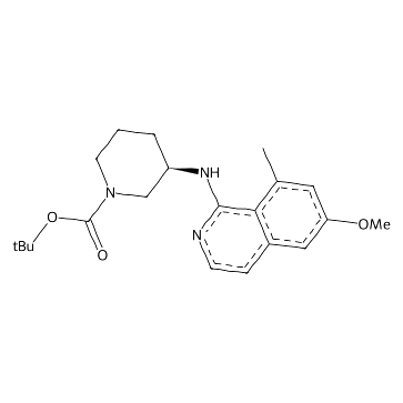 COc1cc(C)c2c(N[C@@H]3CCCN(C(=O)OC(C)(C)C)C3)nccc2c1